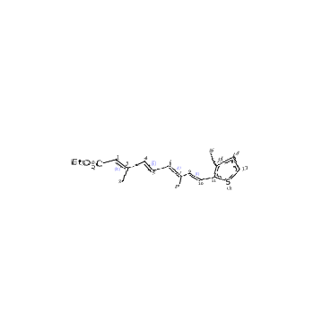 CCOC(=O)/C=C(C)/C=C/C=C(C)/C=C/c1sccc1C